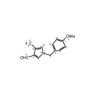 COc1ccc(Cn2cc([C]=O)c(C(F)(F)F)n2)cc1